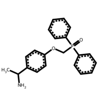 CC(N)c1ccc(OCP(=O)(c2ccccc2)c2ccccc2)cc1